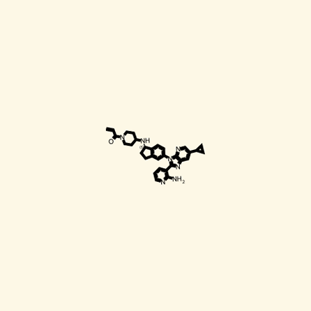 C=CC(=O)N1CCC(N[C@H]2CCc3cc(-n4c(-c5cccnc5N)nc5cc(C6CC6)cnc54)ccc32)CC1